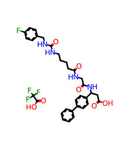 O=C(O)C(F)(F)F.O=C(O)CC(NC(=O)CNC(=O)CCCCNC(=O)NCc1ccc(F)cc1)c1ccc(-c2ccccc2)cc1